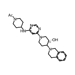 CC(=O)N1CCC(Nc2cc(N3CCC(N4CCc5ccccc5C4)[C@@H](O)C3)ncn2)CC1